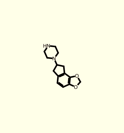 c1cc2c(c3c1CC(N1CCNCC1)C3)OCO2